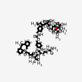 CN[C@H](C(=O)N[C@H](C(=O)N(C)[C@H](/C=C(\C)C(=O)O)C(C)C)C(C)(C)C)C(C)(C)c1cn(C)c2cc(CNC(=O)OCc3ccc(NC(=O)[C@H](CCCNC(N)=O)NC(=O)[C@@H](NC(=O)CCC(=O)N4Cc5ccccc5/C(C)=C\c5ccccc54)C(C)C)cc3)ccc12